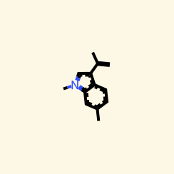 C=C(C)c1cn(C)c2cc(C)ccc12